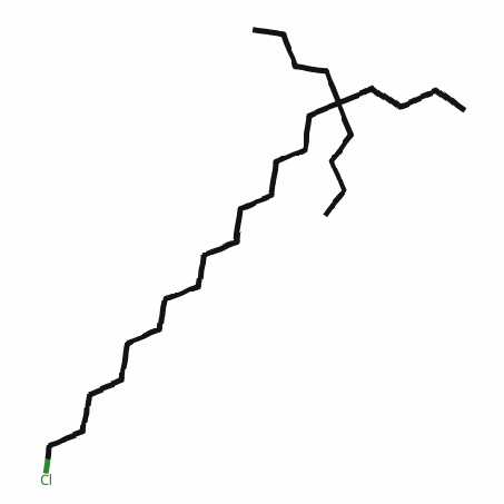 CCCCC(CCCC)(CCCC)CCCCCCCCCCCCCCCCl